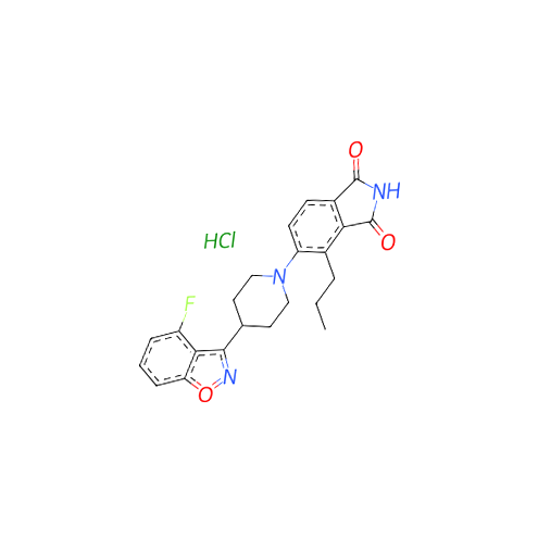 CCCc1c(N2CCC(c3noc4cccc(F)c34)CC2)ccc2c1C(=O)NC2=O.Cl